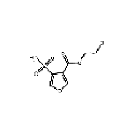 NS(=O)(=O)c1cocc1C(=O)OCCCl